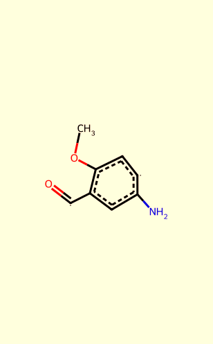 COc1c[c]c(N)cc1[C]=O